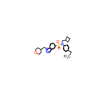 CCc1ccc(N(CC2CCC2)S(=O)(=O)c2ccc3c(cnn3CC3CCOCC3)c2)cc1